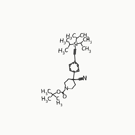 CC(C)[Si](C#Cc1ccc(C2(C#N)CCN(C(=O)OC(C)(C)C)CC2)cc1)(C(C)C)C(C)C